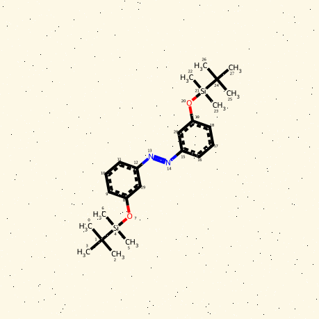 CC(C)(C)[Si](C)(C)Oc1cccc(N=Nc2cccc(O[Si](C)(C)C(C)(C)C)c2)c1